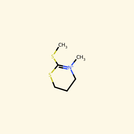 CSC1=[N+](C)CCCS1